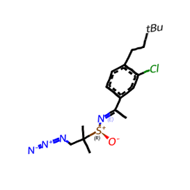 C/C(=N\[S@@+]([O-])C(C)(C)CN=[N+]=[N-])c1ccc(CCC(C)(C)C)c(Cl)c1